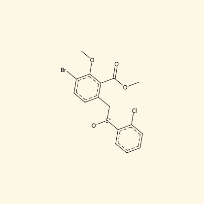 COC(=O)c1c(C[S+]([O-])c2ccccc2Cl)ccc(Br)c1OC